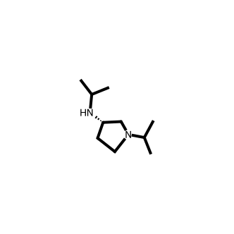 CC(C)N[C@H]1CCN(C(C)C)C1